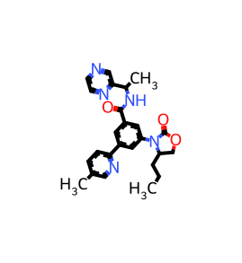 CCCC1COC(=O)N1c1cc(C(=O)NC(C)c2cnccn2)cc(-c2ccc(C)cn2)c1